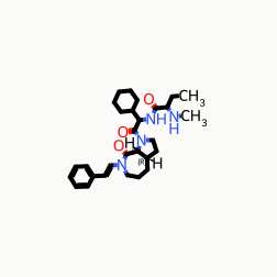 CCC(NC)C(=O)NC(C(=O)N1CC[C@H]2CCCN(C=Cc3ccccc3)C(=O)[C@H]21)C1CCCCC1